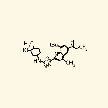 Cc1cc(-c2nnc(NC3CCC(C)C(O)C3)o2)nc2c(C(C)(C)C)cc(NCC(F)(F)F)cc12